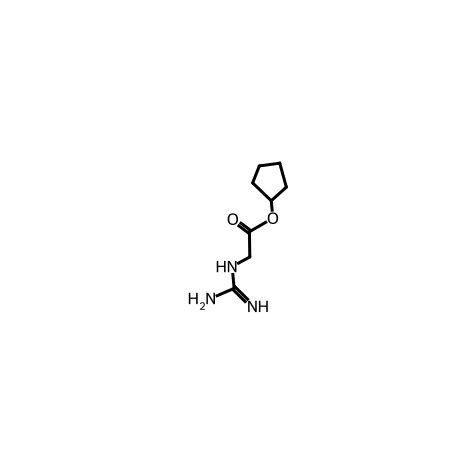 N=C(N)NCC(=O)OC1CCCC1